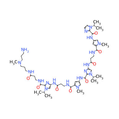 CC(C)n1cc(NC(=O)CCNC(=O)c2cc(NC(=O)c3nc(NC(=O)CCNC(=O)c4cc(NC(=O)c5nccn5C(C)C)cn4C)cn3C(C)C)cn2C)nc1C(=O)NCCC(=O)NCCCN(C)CCCN